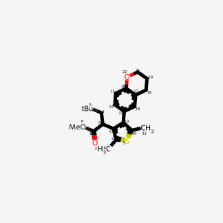 COC(=O)C(CC(C)(C)C)c1c(C)sc(C)c1-c1ccc2c(c1)CCCO2